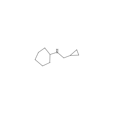 [CH]1CCCCC1NCC1CC1